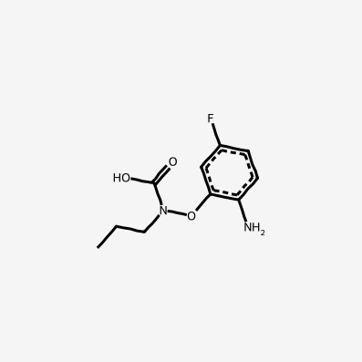 CCCN(Oc1cc(F)ccc1N)C(=O)O